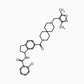 Cc1noc(C)c1CN1CCC2(CC1)CCN(C(=O)c1ccc3c(c1)C(NC(=O)c1ccccc1Cl)CC3)CC2